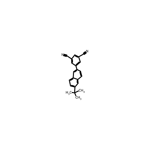 CC(C)(C)c1ccc2cc(-c3cc(C#N)cc(C#N)c3)ccc2c1